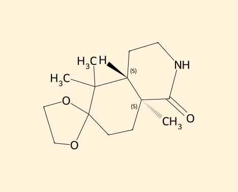 CC1(C)[C@@H]2CCNC(=O)[C@@]2(C)CCC12OCCO2